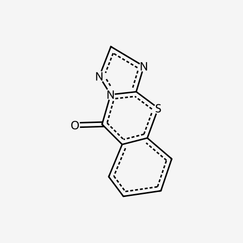 O=c1c2ccccc2sc2ncnn12